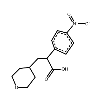 O=C(O)C(CC1CCOCC1)c1ccc([N+](=O)[O-])cc1